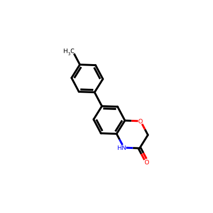 Cc1ccc(-c2ccc3c(c2)OCC(=O)N3)cc1